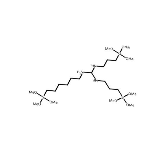 CO[Si](CCCCCC[SiH2]C(NCCC[Si](OC)(OC)OC)NCCC[Si](OC)(OC)OC)(OC)OC